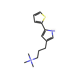 C[N+](C)(C)CCCc1c[nH]c(-c2cccs2)c1